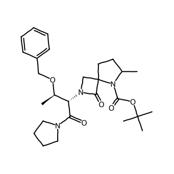 CC1CCC2(CN([C@H](C(=O)N3CCCC3)[C@@H](C)OCc3ccccc3)C2=O)N1C(=O)OC(C)(C)C